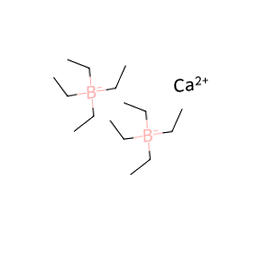 CC[B-](CC)(CC)CC.CC[B-](CC)(CC)CC.[Ca+2]